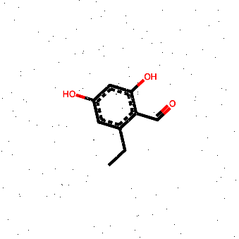 CCc1cc(O)cc(O)c1C=O